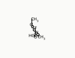 CCCCCOc1ccc(-c2ccc(-c3cc(C(=O)O)c4cc(C)ccc4n3)cc2F)cc1